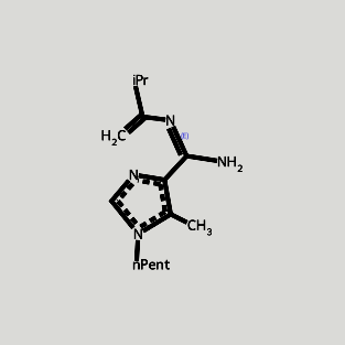 C=C(/N=C(/N)c1ncn(CCCCC)c1C)C(C)C